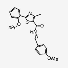 CCCOc1ccccc1-c1nc(C)c(C(=O)N/N=C/c2ccc(OC)cc2)s1